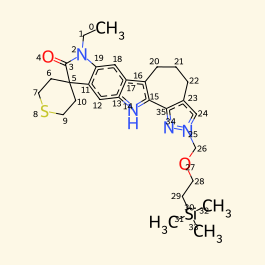 CCN1C(=O)C2(CCSCC2)c2cc3[nH]c4c(c3cc21)CCCc1cn(COCC[Si](C)(C)C)nc1-4